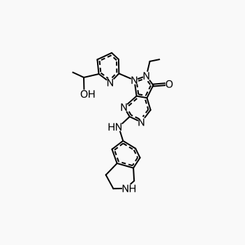 CCn1c(=O)c2cnc(Nc3ccc4c(c3)CCNC4)nc2n1-c1cccc(C(C)O)n1